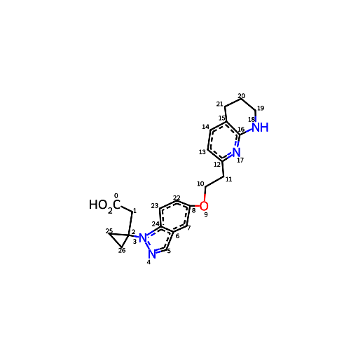 O=C(O)CC1(n2ncc3cc(OCCc4ccc5c(n4)NCCC5)ccc32)CC1